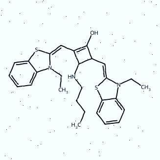 CCCCNC1C(C=C2Sc3ccccc3N2CC)=C(O)C1C=C1Sc2ccccc2N1CC